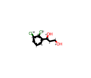 OCCC(O)c1cccc(Cl)c1Cl